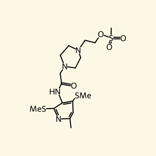 CSc1cc(C)nc(SC)c1NC(=O)CN1CCN(CCOS(C)(=O)=O)CC1